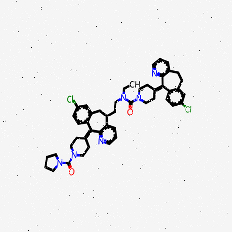 CCN(CCC1Cc2cc(Cl)ccc2C(=C2CCN(C(=O)N3CCCC3)CC2)c2ncccc21)C(=O)N1CCC(=C2c3ccc(Cl)cc3CCc3cccnc32)CC1